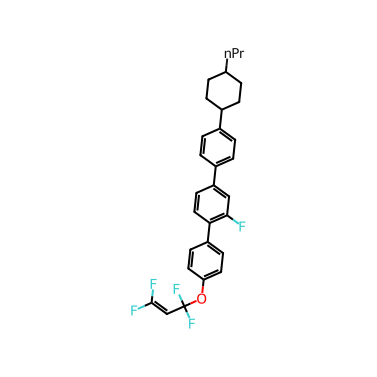 CCCC1CCC(c2ccc(-c3ccc(-c4ccc(OC(F)(F)C=C(F)F)cc4)c(F)c3)cc2)CC1